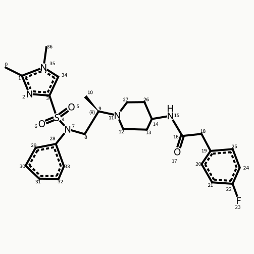 Cc1nc(S(=O)(=O)N(C[C@@H](C)N2CCC(NC(=O)Cc3ccc(F)cc3)CC2)c2ccccc2)cn1C